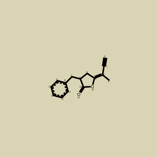 C#CC(C)=C1CC(Cc2ccccc2)C(=O)O1